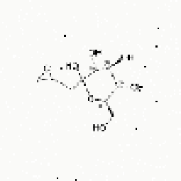 OC[C@H]1OC(O)(CC2CO2)[C@H](O)[C@@H](O)[C@@H]1O